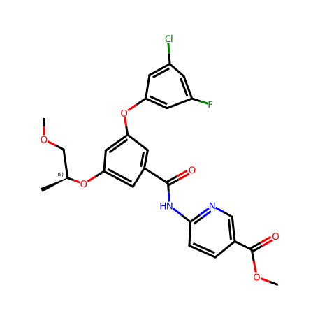 COC[C@H](C)Oc1cc(Oc2cc(F)cc(Cl)c2)cc(C(=O)Nc2ccc(C(=O)OC)cn2)c1